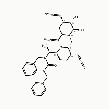 C[C@@H]([C@@H]1CC[C@@H](N=[N+]=[N-])[C@@H](O[C@H]2[C@H](O)[C@@H](O)[C@H](N=[N+]=[N-])C[C@@H]2N=[N+]=[N-])O1)N(Cc1ccccc1)C(=O)OCc1ccccc1